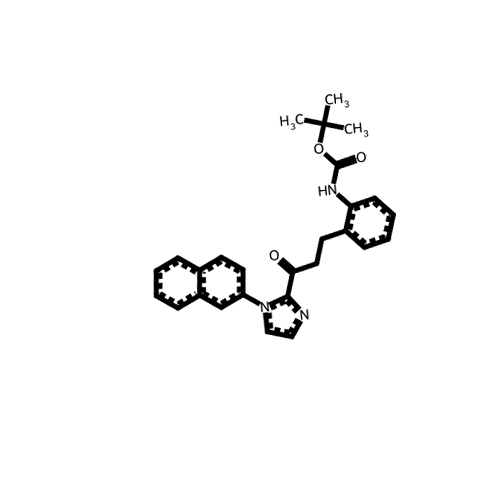 CC(C)(C)OC(=O)Nc1ccccc1CCC(=O)c1nccn1-c1ccc2ccccc2c1